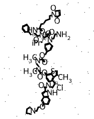 Cc1csc2c(OC(=O)N(C)CCN(C)C(=O)OCc3ccc(N(CC(N)=O)C(=O)[C@H](CC(C)C)NC(=O)[C@H](Cc4ccccc4)NC(=O)CCCCCN4C(=O)C=CC4=O)cc3)cc3c(c12)[C@H](CCl)CN3C(=O)c1cc2cc(OCCN3CCCC3)ccc2[nH]1